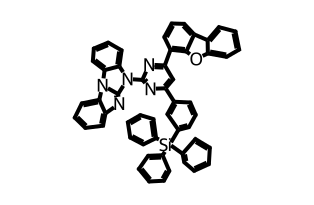 c1ccc([Si](c2ccccc2)(c2ccccc2)c2cccc(-c3cc(-c4cccc5c4oc4ccccc45)nc(-n4c5ccccc5n5c6ccccc6nc45)n3)c2)cc1